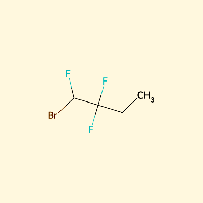 CCC(F)(F)C(F)Br